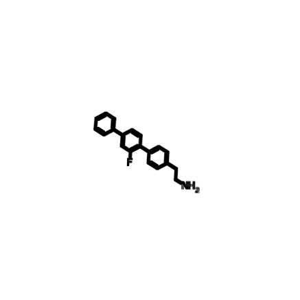 NCCc1ccc(-c2ccc(-c3ccccc3)cc2F)cc1